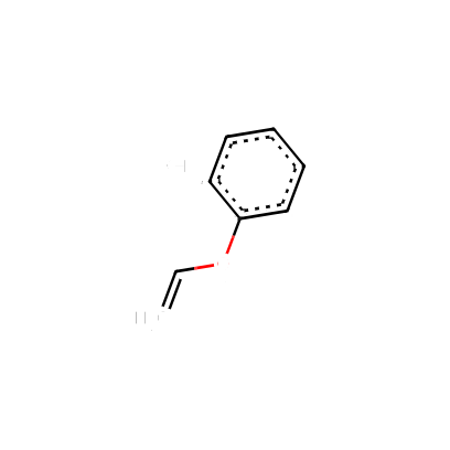 C=COc1ccccc1.[KH]